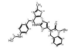 Cc1nc([C@H](Cc2ccc(NSO)cc2)Nc2ncc([C@H](Cc3ccccc3)C(=O)OC(C)(C)C)o2)cs1